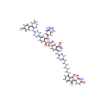 CC1(C)CCC(CN2CCN(c3ccc(C(=O)NS(=O)(=O)c4ccc(NCC5CCN(CCCCCCCc6cccc7c6C(=O)N(C6CCC(=O)NC6=O)C7=O)CC5)c([N+](=O)[O-])c4)c(Oc4cnc5[nH]ccc5c4)c3)CC2)=C(c2ccc(Cl)cc2)C1